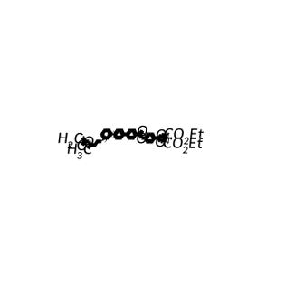 C=CC(=O)OC(C)CCC[C@@H]1CCC[C@@H](c2ccc(-c3ccc(C(=O)Oc4ccc(C5O[C@@H](C(=O)OCC)[C@H](C(=O)OCC)O5)cc4)cc3)cc2)C1